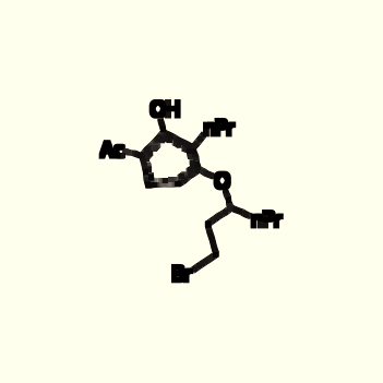 CCCc1c(OC(CCC)CCBr)ccc(C(C)=O)c1O